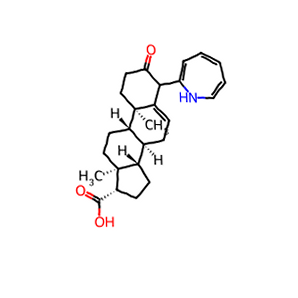 C[C@]12CC[C@H]3[C@@H](CC=C4C(C5=CC=CC=CN5)C(=O)CC[C@@]43C)[C@@H]1CC[C@@H]2C(=O)O